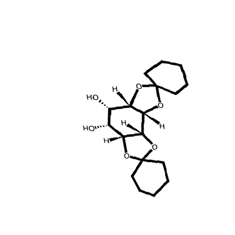 O[C@@H]1[C@H](O)[C@@H]2OC3(CCCCC3)O[C@@H]2[C@@H]2OC3(CCCCC3)O[C@H]12